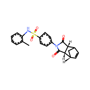 Cc1ccccc1NS(=O)(=O)c1ccc(N2C(=O)[C@@H]3[C@H](C2=O)C2C=C[C@H]3C2)cc1